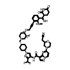 CNc1c(C#CCO[C@@H]2CCN(C[C@H]3CC[C@H](n4cc(NC(=O)c5cnn6ccc(N7CCOC(CC#N)C7)nc56)c(C(F)F)n4)CC3)C[C@@H]2F)cccc1C(=N)C1CCC(=O)NC1=O